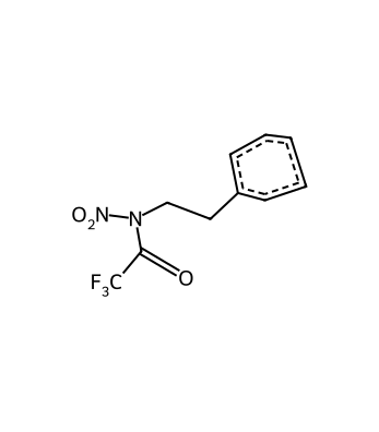 O=C(N(CCc1ccccc1)[N+](=O)[O-])C(F)(F)F